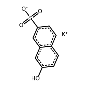 O=S(=O)([O-])c1ccc2ccc(O)cc2c1.[K+]